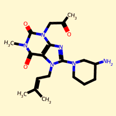 CC(=O)Cn1c(=O)n(C)c(=O)c2c1nc(N1CCCC(N)C1)n2CC=C(C)C